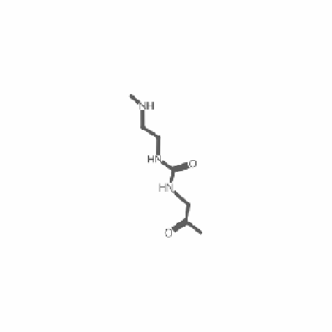 CNCCNC(=O)NCC(C)=O